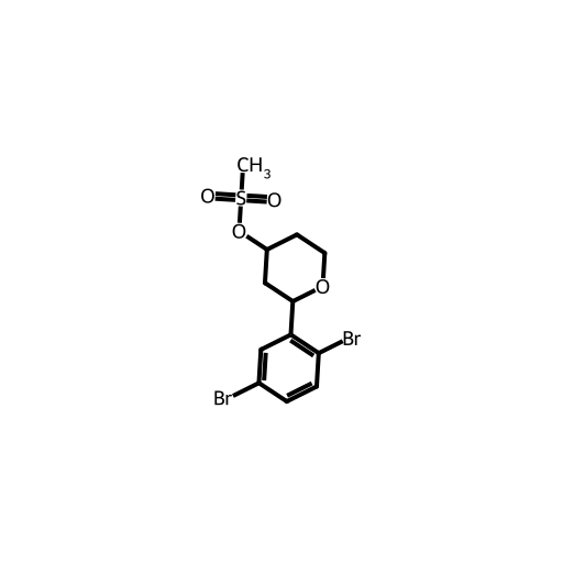 CS(=O)(=O)OC1CCOC(c2cc(Br)ccc2Br)C1